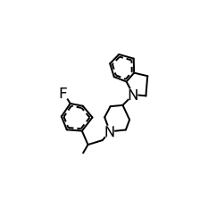 CC(CN1CCC(N2CCc3ccccc32)CC1)c1ccc(F)cc1